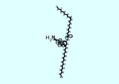 CCCCCCCC/C=C\CCCCCCCC(=O)OC[C@H](COP(=O)(O)OCCN)CC(=O)CCCCCCCCCCCCCCC